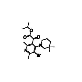 Cc1nc(C)c(C(=O)C(=O)OC(C)C)c(N2CCCC(C)(C)C2)c1Br